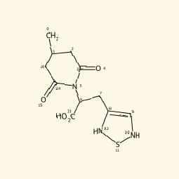 CC1CC(=O)N(C(CC2=CNSN2)C(=O)O)C(=O)C1